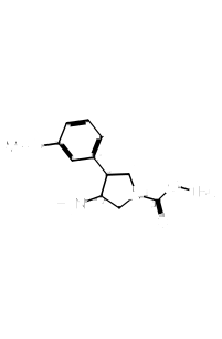 COc1cccc(C2CN(C(=O)OC(C)(C)C)CC2N)c1